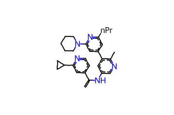 C=C(Nc1cnc(C)c(-c2cc(CCC)nc(N3CCCCC3)c2)c1)c1ccnc(C2CC2)c1